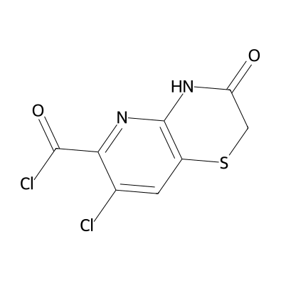 O=C1CSc2cc(Cl)c(C(=O)Cl)nc2N1